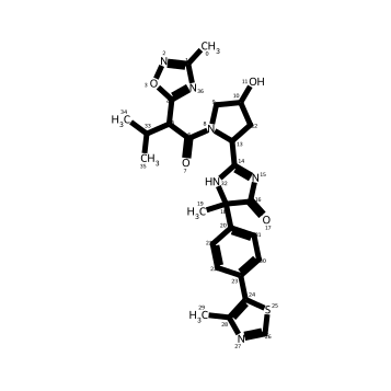 Cc1noc(C(C(=O)N2CC(O)CC2C2=NC(=O)C(C)(c3ccc(-c4scnc4C)cc3)N2)C(C)C)n1